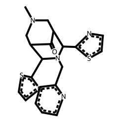 CN1CC2C(=O)C(C1)C(c1nccs1)N(Cc1ccccn1)C2c1nccs1